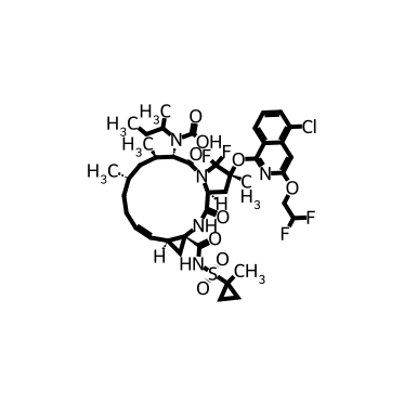 CCC(C)N(C(=O)O)[C@@H]1C(=O)N2[C@@H](C[C@@](C)(Oc3nc(OCC(F)F)cc4c(Cl)cccc34)C2(F)F)C(=O)N[C@]2(C(=O)NS(=O)(=O)C3(C)CC3)C[C@H]2/C=C\CC[C@H](C)C[C@H]1C